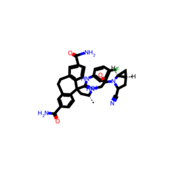 C[C@H](CC1(C(=N)Nc2ccc(F)cc2)c2ccc(C(N)=O)cc2CCc2cc(C(N)=O)ccc21)NCC(=O)N1C(C#N)C[C@@H]2C[C@@H]21